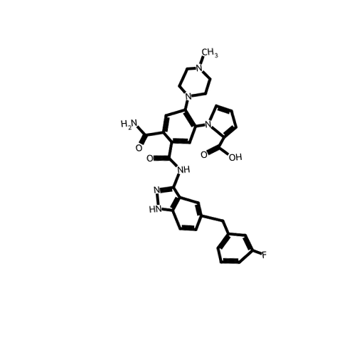 CN1CCN(c2cc(C(N)=O)c(C(=O)Nc3n[nH]c4ccc(Cc5cccc(F)c5)cc34)cc2-n2cccc2C(=O)O)CC1